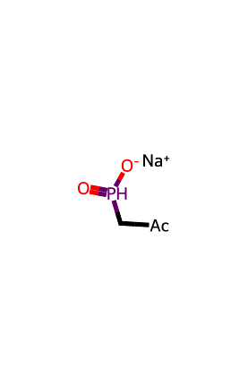 CC(=O)C[PH](=O)[O-].[Na+]